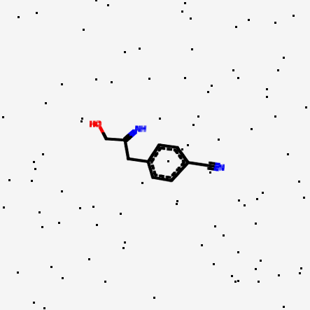 N#Cc1ccc(CC(=N)CO)cc1